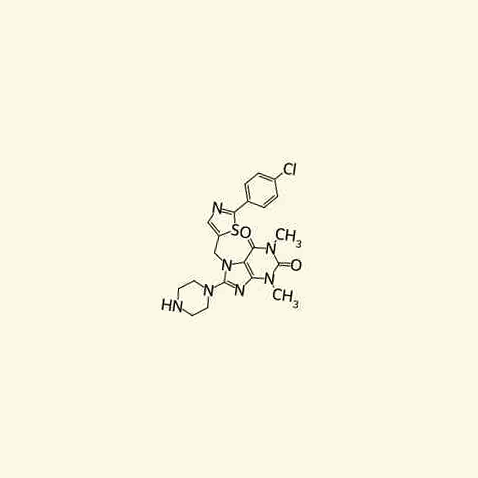 Cn1c(=O)c2c(nc(N3CCNCC3)n2Cc2cnc(-c3ccc(Cl)cc3)s2)n(C)c1=O